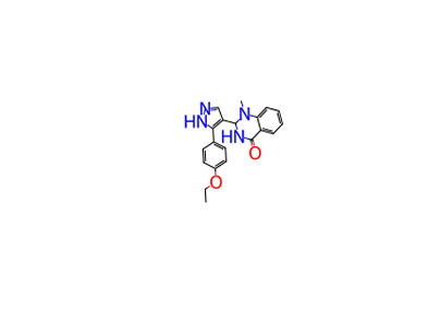 CCOc1ccc(-c2[nH]ncc2C2NC(=O)c3ccccc3N2C)cc1